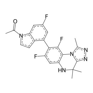 CC(=O)n1ccc2c(-c3c(F)cc4c(c3F)-n3c(C)nnc3C(C)(C)N4)cc(F)cc21